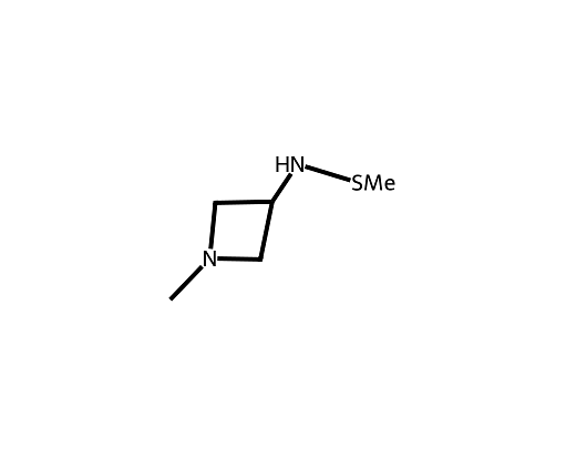 CSNC1CN(C)C1